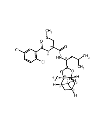 CSC[C@H](NC(=O)c1cc(Cl)ccc1Cl)C(=O)N[C@@H](CC(C)C)B1O[C@@H]2C[C@@H]3C[C@@H](C3(C)C)[C@]2(C)O1